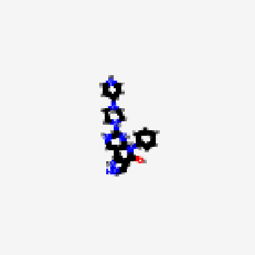 O=c1c2c[nH]nc2c2cnc(N3CCN(c4ccncc4)CC3)nc2n1-c1ccccc1